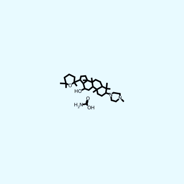 CN1CCN(C2CCC3(C)C(CCC4(C)C3CC(O)C3C(C5(C)CCCC(C)(C)O5)CCC34C)C2(C)C)CC1.NC(=O)O